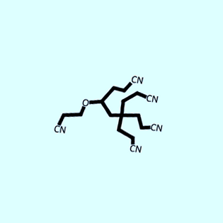 N#CCCOC(CCC#N)CC(CCC#N)(CCC#N)CCC#N